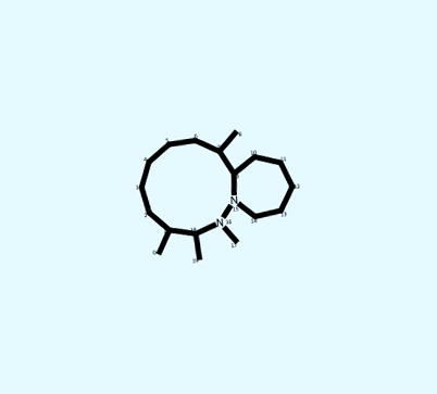 CC1CCCCCC(C)C2CCCCCN2N(C)C1C